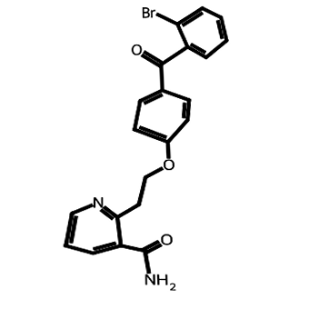 NC(=O)c1cccnc1CCOc1ccc(C(=O)c2ccccc2Br)cc1